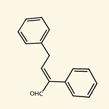 O=CC(=CCc1ccccc1)c1ccccc1